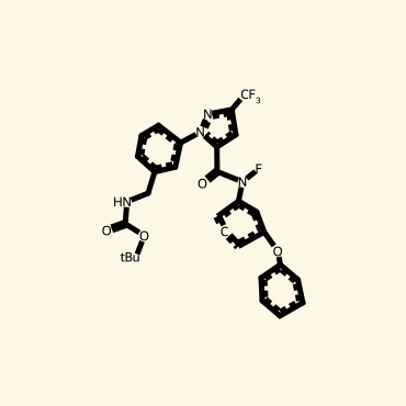 CC(C)(C)OC(=O)NCc1cccc(-n2nc(C(F)(F)F)cc2C(=O)N(F)c2cccc(Oc3ccccc3)c2)c1